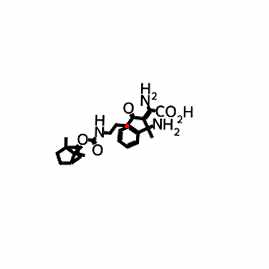 CC(N)(C(C(=O)CCCNC(=O)OC1CC2CCC1(C)C2(C)C)=C(N)C(=O)O)c1ccccc1